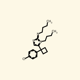 CCCCN=c1scc(C2(c3ccc(Cl)cc3)CCC2)n1CCCC